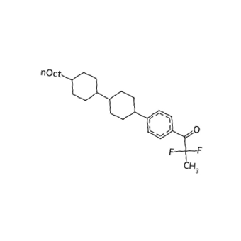 CCCCCCCCC1CCC(C2CCC(c3ccc(C(=O)C(C)(F)F)cc3)CC2)CC1